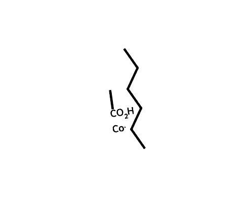 CC(=O)O.CCCCCC.[Co]